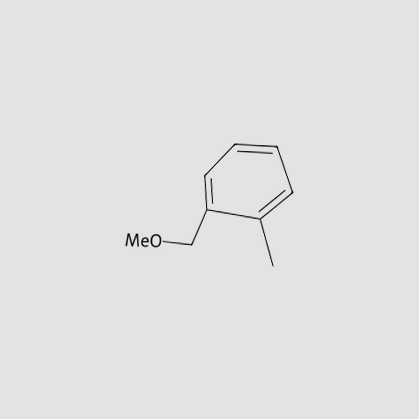 [CH2-][OH+]Cc1ccccc1C